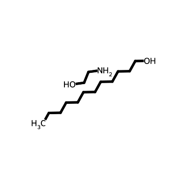 CCCCCCCCCCCCO.NCCO